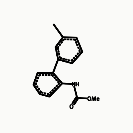 COC(=O)Nc1ccccc1-c1cccc(C)c1